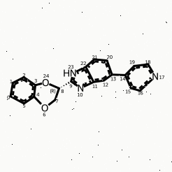 c1ccc2c(c1)OC[C@@H](c1nc3cc(-c4ccncc4)ccc3[nH]1)O2